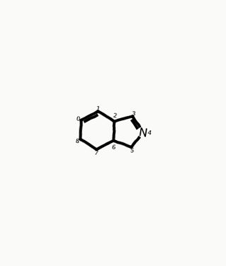 C1=CC2C=NCC2CC1